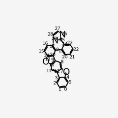 c1ccc2c(c1)oc1cc3c(cc12)oc1ccc2c(c4ccccc4c4nccn24)c13